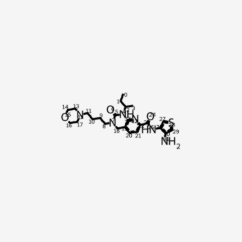 CCC(C)NC(=O)N(CCCCN1CCOCC1)Cc1ccc(C(=O)Nc2cscc2N)nc1